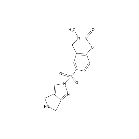 CN1Cc2cc(S(=O)(=O)n3cc4c(n3)CNC4)ccc2OC1=O